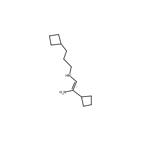 N/C(=C\NCCCC1CCC1)C1CCC1